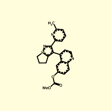 COC(=O)Oc1ccc2nccc(-c3c(-c4cccc(C)n4)nn4c3CCC4)c2c1